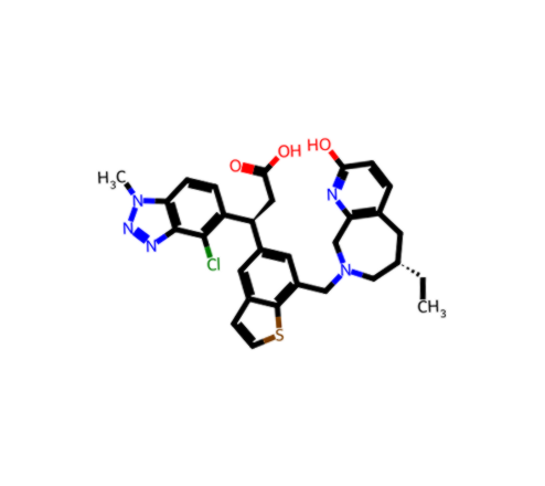 CC[C@H]1Cc2ccc(O)nc2CN(Cc2cc([C@H](CC(=O)O)c3ccc4c(nnn4C)c3Cl)cc3ccsc23)C1